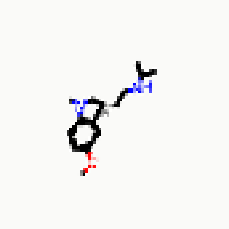 COc1ccc2c(c1)[C@@H](CCNC(C)C)CN2C